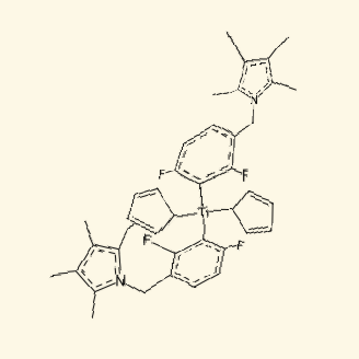 Cc1c(C)c(C)n(Cc2ccc(F)[c]([Ti]([c]3c(F)ccc(Cn4c(C)c(C)c(C)c4C)c3F)([CH]3C=CC=C3)[CH]3C=CC=C3)c2F)c1C